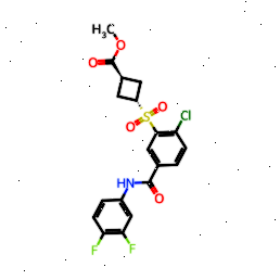 COC(=O)[C@H]1C[C@H](S(=O)(=O)c2cc(C(=O)Nc3ccc(F)c(F)c3)ccc2Cl)C1